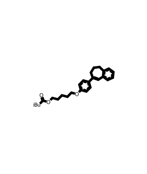 CCC(C)C(=O)OCCCCCOc1ccc(C2=Cc3ccccc3CCC2)cc1